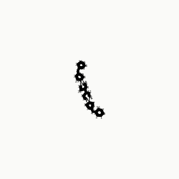 c1ccc(Cc2ccc(-[n+]3ccc(-c4cc[n+](-c5ccc(Cc6ccccc6)cc5)cc4)cc3)cc2)cc1